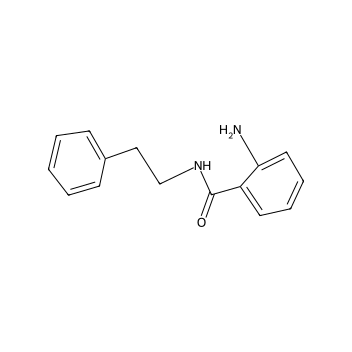 Nc1ccccc1C(=O)NCCc1ccccc1